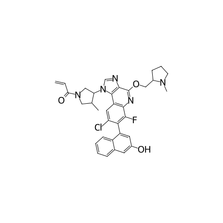 C=CC(=O)N1CC(C)C(n2cnc3c(OCC4CCCN4C)nc4c(F)c(-c5cc(O)cc6ccccc56)c(Cl)cc4c32)C1